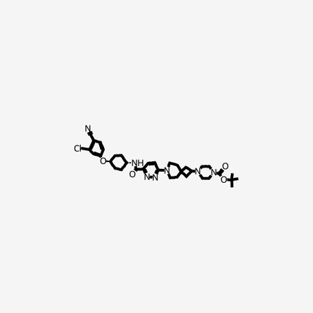 CC(C)(C)OC(=O)N1CCN(C2CC3(CCN(c4ccc(C(=O)N[C@H]5CC[C@H](Oc6ccc(C#N)c(Cl)c6)CC5)nn4)CC3)C2)CC1